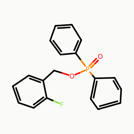 O=P(OCc1ccccc1F)(c1ccccc1)c1ccccc1